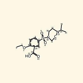 CCOc1ccc(S(=O)(=O)N2CCN(C(C)C)CC2)cc1C(=O)O